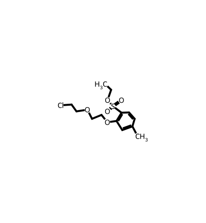 CCOS(=O)(=O)c1ccc(C)cc1OCCOCCCl